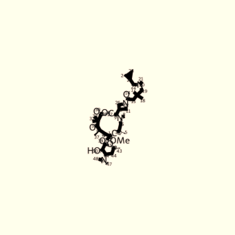 CO[C@]1(C)C[C@@H](C)CN(C)C(C2CN(C(=O)CC(C)(C)CN(C)CC3CC3)C2)COC(=O)C(C)(C)C(=O)[C@H](C)[C@H]1O[C@@H]1O[C@H](C)C[C@H](N(C)C)[C@H]1O